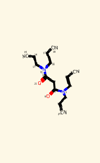 N#CCCN(CCC#N)C(=O)CC(=O)N(CCC#N)CCC#N